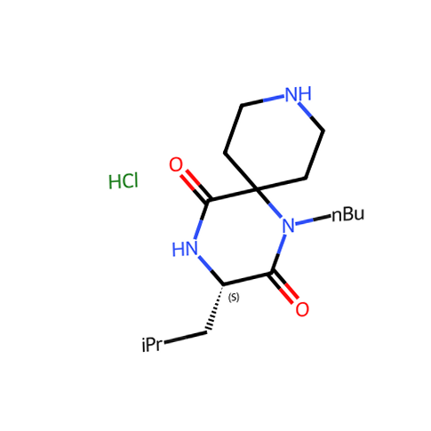 CCCCN1C(=O)[C@H](CC(C)C)NC(=O)C12CCNCC2.Cl